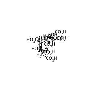 CC(C)C[C@H](N)C(=O)O.CC(C)[C@H](N)C(=O)O.C[C@@H](O)[C@H](N)C(=O)O.N[C@@H](CCC(=O)O)C(=O)O.N[C@@H](CCC(=O)O)C(=O)O.N[C@@H](Cc1c[nH]cn1)C(=O)O.O=C(O)[C@@H]1CCCN1